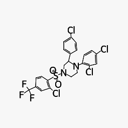 O=S(=O)(c1ccc(C(F)(F)F)cc1Cl)N1CCN(c2ccc(Cl)cc2Cl)C(c2ccc(Cl)cc2)C1